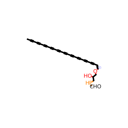 CC#CC#CC#CC#CC#CC#CC#CC#CC#CC#C/C=C\OCC(O)CPC=O